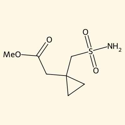 COC(=O)CC1(CS(N)(=O)=O)CC1